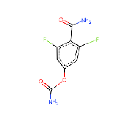 NC(=O)Oc1cc(F)c(C(N)=O)c(F)c1